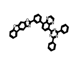 c1ccc(-c2nc(-c3ccccc3)nc(-c3ccc(-c4cccc(-c5nc6cc7c(cc6o5)oc5ccccc57)c4)c4nccnc34)n2)cc1